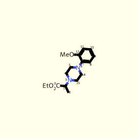 CCOC(=O)C(C)N1CCN(c2ccccc2OC)CC1